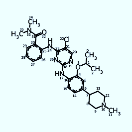 CC(C)Oc1cc(C2CCN(C)CC2)ccc1Nc1ncc(Cl)c(Nc2ccccc2C(=O)N(C)C)n1